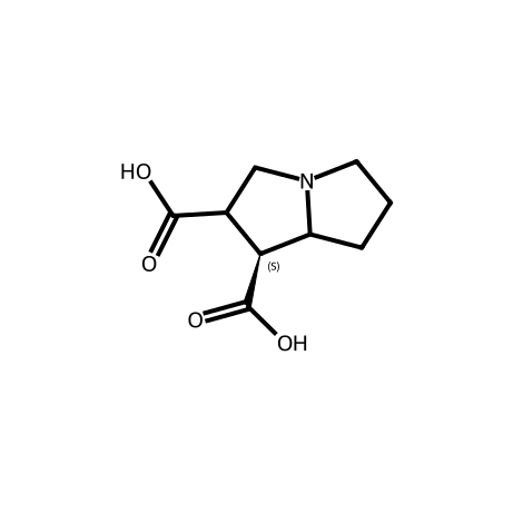 O=C(O)C1CN2CCCC2[C@H]1C(=O)O